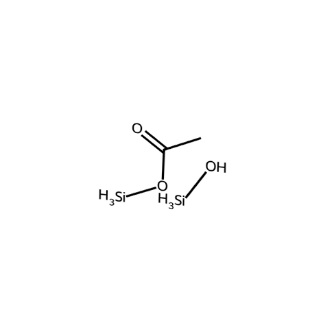 CC(=O)O[SiH3].O[SiH3]